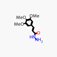 COc1cc(C=CC(=O)NN)cc(OC)c1OC